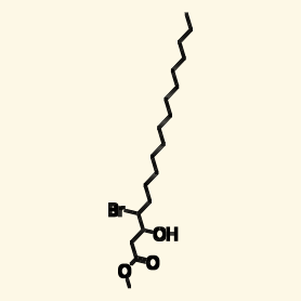 CCCCCCCCCCCCCCC(Br)C(O)CC(=O)OC